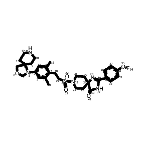 Cc1cc(N2COCC23CCNCC3)cc(C)c1CCS(=O)(=O)N1CCC2(CC1)N=C(c1ccc(OF)cc1)NC2=O